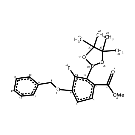 COC(=O)c1ccc(OCc2ccccc2)c(F)c1B1OC(C)(C)C(C)(C)O1